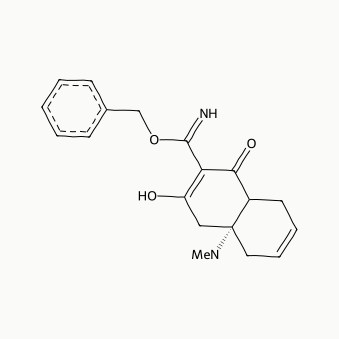 CN[C@@]12CC=CCC1C(=O)C(C(=N)OCc1ccccc1)=C(O)C2